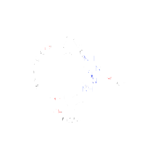 COC(=O)c1ccc2cc1OCCCC=CCCCOc1ccc(cc1)CNc1nc(nc(OCC(F)(F)F)n1)N2